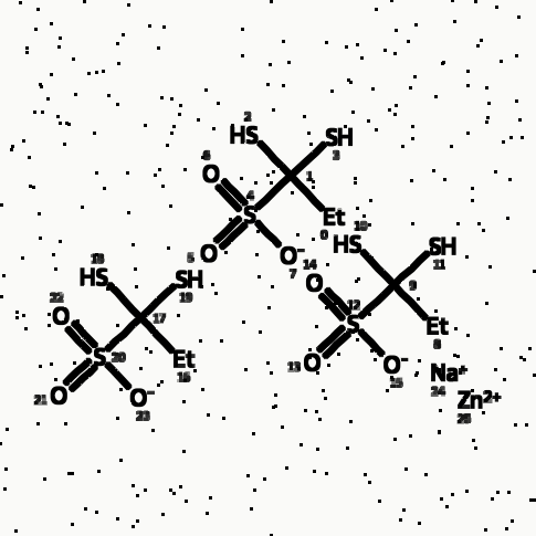 CCC(S)(S)S(=O)(=O)[O-].CCC(S)(S)S(=O)(=O)[O-].CCC(S)(S)S(=O)(=O)[O-].[Na+].[Zn+2]